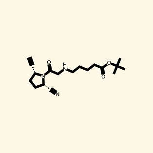 C#C[C@H]1CC[C@@H](C#N)N1C(=O)CNCCCCC(=O)OC(C)(C)C